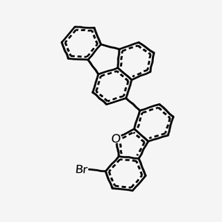 Brc1cccc2c1oc1c(-c3ccc4c5c(cccc35)-c3ccccc3-4)cccc12